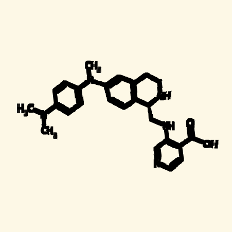 CN(C)c1ccc(N(C)c2ccc3c(c2)CCN[C@H]3CNc2cnccc2C(=O)O)cc1